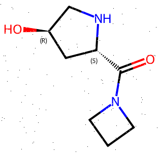 O=C([C@@H]1C[C@@H](O)CN1)N1CCC1